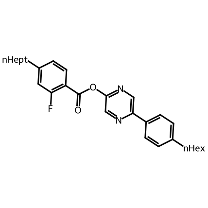 CCCCCCCc1ccc(C(=O)Oc2cnc(-c3ccc(CCCCCC)cc3)cn2)c(F)c1